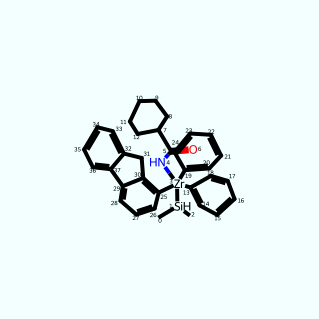 C[SiH](C)[Zr]([NH]C(=O)C1CCCCC1)([c]1ccccc1)([c]1ccccc1)[c]1cccc2c1Cc1ccccc1-2